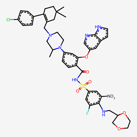 CC1CN(CC2=C(c3ccc(Cl)cc3)CCC(C)(C)C2)CCN1c1ccc(C(=O)NS(=O)(=O)c2cc(F)c(NCC3COCCO3)c([N+](=O)[O-])c2)c(Oc2cnc3[nH]ccc3c2)c1